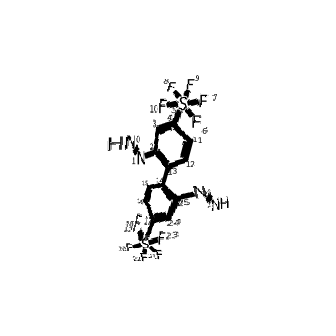 N=Nc1cc(S(F)(F)(F)(F)F)ccc1-c1ccc(S(F)(F)(F)(F)F)cc1N=N